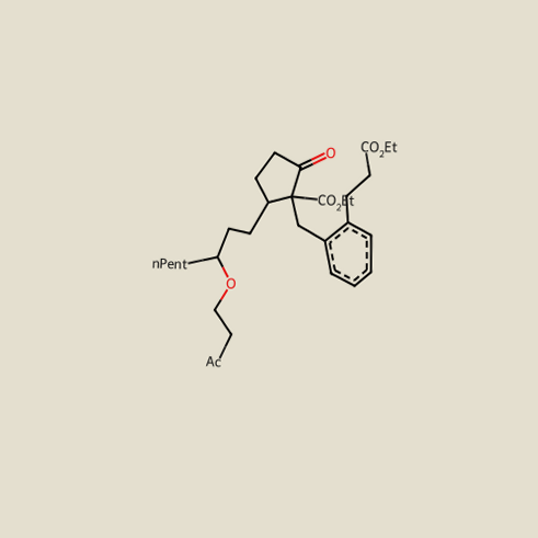 CCCCCC(CCC1CCC(=O)C1(Cc1ccccc1CCC(=O)OCC)C(=O)OCC)OCCC(C)=O